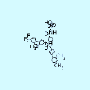 Cc1ccc(-c2ccc(C(Cc3ccc(C(=O)NCCS(=O)(=O)O)cc3)C(=O)Nc3ccc(-c4ccc(C(F)(F)F)cc4Cl)c(C)c3)cc2)c(C)c1